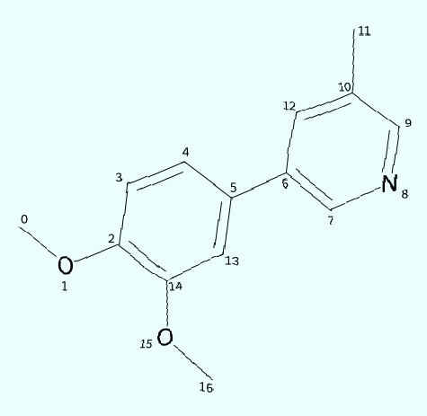 COc1ccc(-c2cncc(C)c2)cc1OC